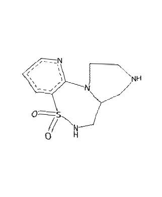 O=S1(=O)NCC2CNCCN2c2ncccc21